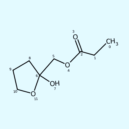 CCC(=O)OCC1(O)CCCO1